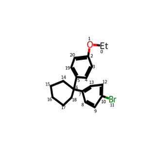 CCOc1ccc(C2(c3ccc(Br)cc3)CCCCC2)cc1